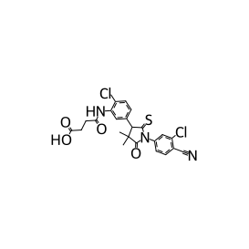 CC1(C)C(=O)N(c2ccc(C#N)c(Cl)c2)C(=S)C1c1ccc(Cl)c(NC(=O)CCC(=O)O)c1